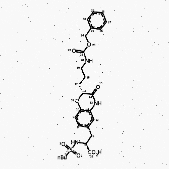 CCCCS(=O)(=O)N[C@@H](Cc1ccc2c(c1)NC(=O)[C@@H](CCCNC(=O)OCc1ccccc1)O2)C(=O)O